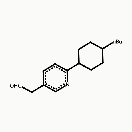 CCCCC1CCC(c2ccc(CC=O)cn2)CC1